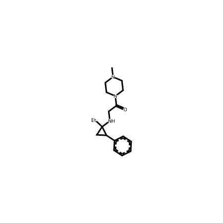 CCC1(NCC(=O)N2CCN(C)CC2)CC1c1ccccc1